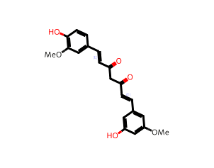 COc1cc(O)cc(/C=C/C(=O)CC(=O)/C=C/c2ccc(O)c(OC)c2)c1